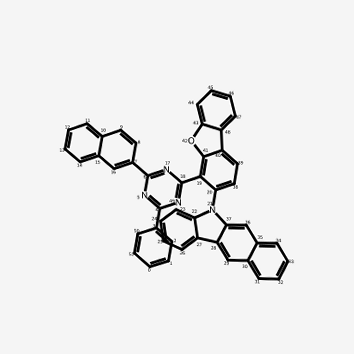 c1ccc(-c2nc(-c3ccc4ccccc4c3)nc(-c3c(-n4c5ccccc5c5cc6ccccc6cc54)ccc4c3oc3ccccc34)n2)cc1